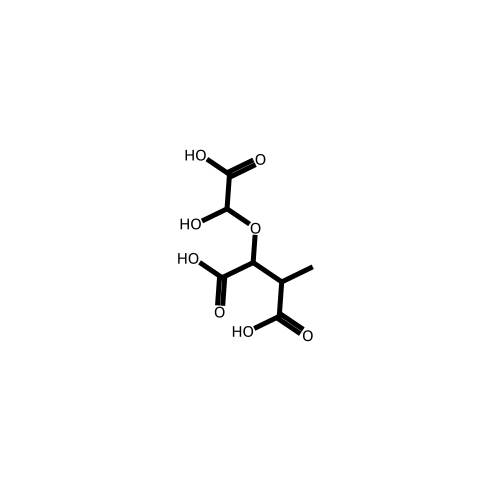 CC(C(=O)O)C(OC(O)C(=O)O)C(=O)O